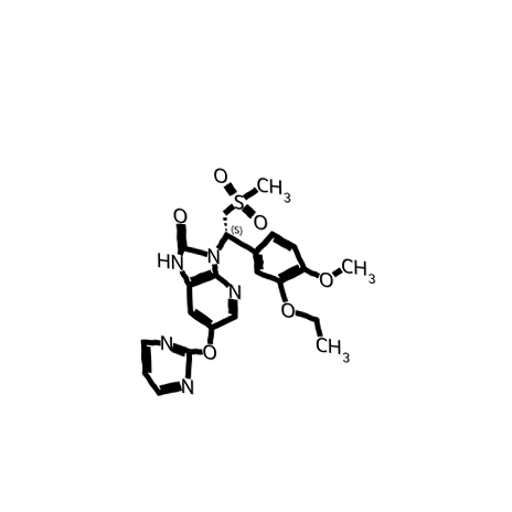 CCOc1cc([C@@H](CS(C)(=O)=O)n2c(=O)[nH]c3cc(Oc4ncccn4)cnc32)ccc1OC